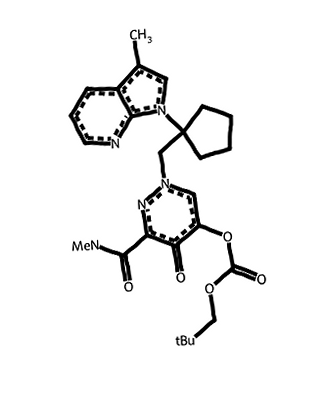 CNC(=O)c1nn(CC2(n3cc(C)c4cccnc43)CCCC2)cc(OC(=O)OCC(C)(C)C)c1=O